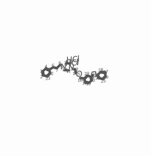 Cl.Cl.c1ccc(CCCN2CCN(CCOCc3cccc(Oc4ccccc4)c3)CC2)cc1